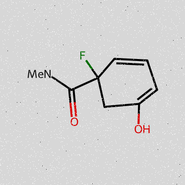 CNC(=O)C1(F)C=CC=C(O)C1